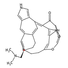 CN(C)C[C@@H]1CCC2=C/C3=C4/C(=O)CC(=O)c5cc(occ[nH]c54)CC/N=C/1C2=Cc1c[nH]cc13